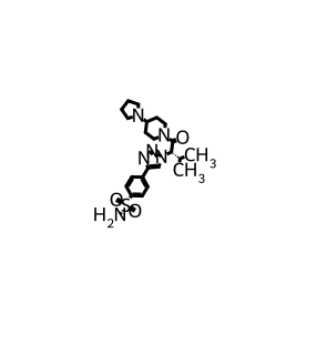 CC(C)[C@@H](C(=O)N1CCC(N2CCCC2)CC1)n1cc(-c2ccc(S(N)(=O)=O)cc2)nn1